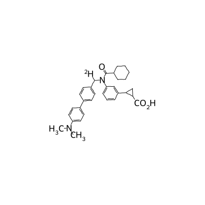 [2H]C(c1ccc(-c2ccc(N(C)C)cc2)cc1)N(C(=O)C1CCCCC1)c1cccc(C2CC2C(=O)O)c1